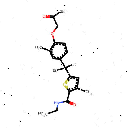 CCC(CC)(c1ccc(OCC(=O)C(C)(C)C)c(C)c1)c1cc(C)c(C(=O)NCC(=O)O)s1